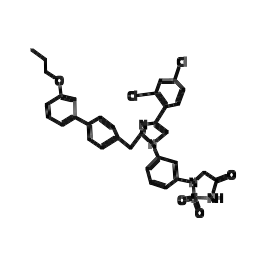 CCCOc1cccc(-c2ccc(Cc3nc(-c4ccc(Cl)cc4Cl)cn3-c3cccc(N4CC(=O)NS4(=O)=O)c3)cc2)c1